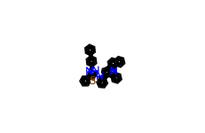 c1ccc(-c2ccc(-c3nc(-n4c5ccccc5c5c6c7ccccc7n7c8c9ccccc9ccc8c(cc54)c67)c4sc5ccccc5c4n3)cc2)cc1